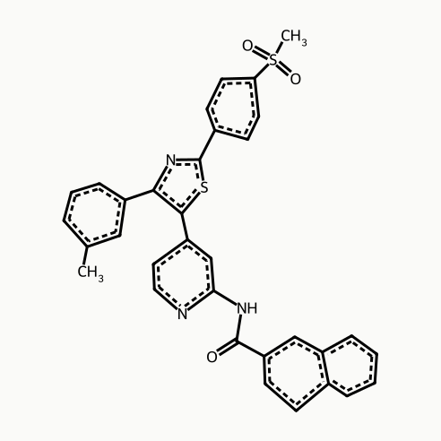 Cc1cccc(-c2nc(-c3ccc(S(C)(=O)=O)cc3)sc2-c2ccnc(NC(=O)c3ccc4ccccc4c3)c2)c1